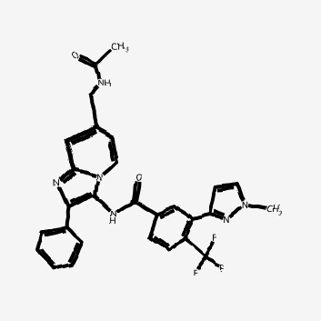 CC(=O)NCc1ccn2c(NC(=O)c3ccc(C(F)(F)F)c(-c4ccn(C)n4)c3)c(-c3ccccc3)nc2c1